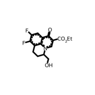 CCOC(=O)c1cn2c3c(c(F)c(F)cc3c1=O)CCC2CO